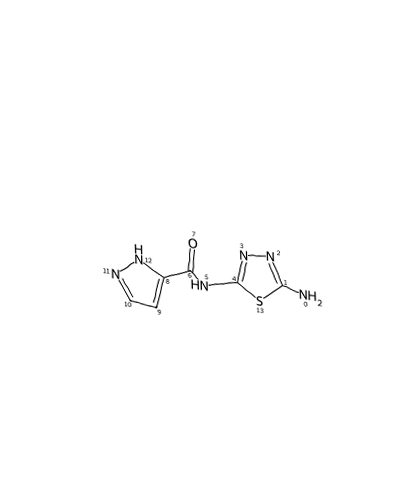 Nc1nnc(NC(=O)c2ccn[nH]2)s1